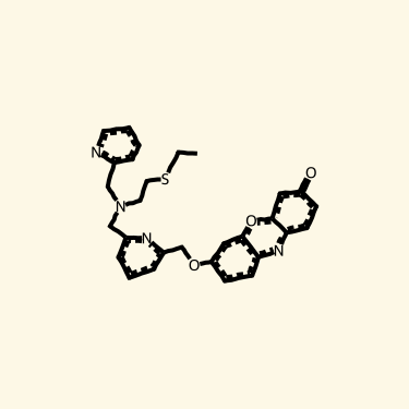 CCSCCN(Cc1ccccn1)Cc1cccc(COc2ccc3nc4ccc(=O)cc-4oc3c2)n1